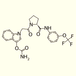 NC(=O)Oc1cn(CC(=O)N2CCC[C@H]2C(=O)Nc2cccc(OC(F)(F)F)c2)c2ccccc12